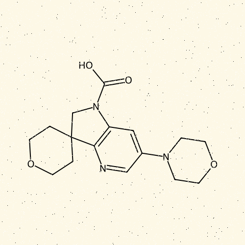 O=C(O)N1CC2(CCOCC2)c2ncc(N3CCOCC3)cc21